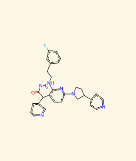 NC(=O)C(c1cccnc1)c1ccc(N2CCC(c3ccncc3)C2)nc1NCCc1cccc(F)c1